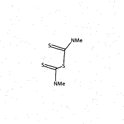 CNC(=S)SC(=S)NC